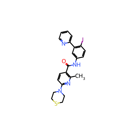 Cc1nc(N2CCSCC2)ccc1C(=O)Nc1ccc(I)c(-c2ccccn2)c1